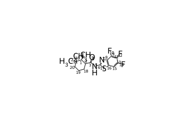 CC1C(C(=O)Nc2nc3c(F)c(F)c(F)cc3s2)CCCC1(C)C